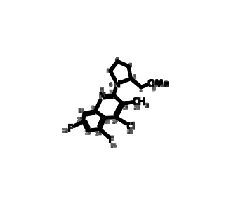 COCC1CCCN1c1nc2cc(F)cc(F)c2c(Cl)c1C